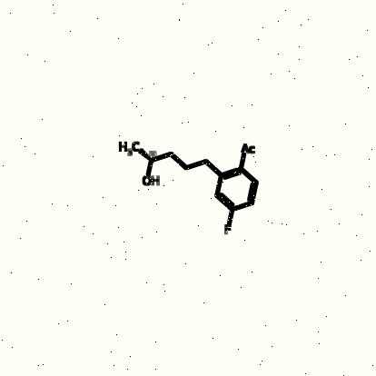 CC(=O)c1ccc(F)cc1CCC[C@H](C)O